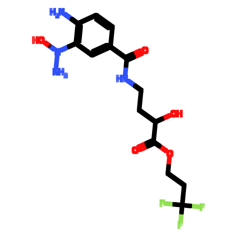 Nc1ccc(C(=O)NCCC(O)C(=O)OCCC(F)(F)F)cc1N(N)O